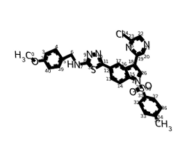 COc1ccc(CNc2nnc(-c3ccc4c(c3)c(-c3cncc(Cl)n3)cn4S(=O)(=O)c3ccc(C)cc3)s2)cc1